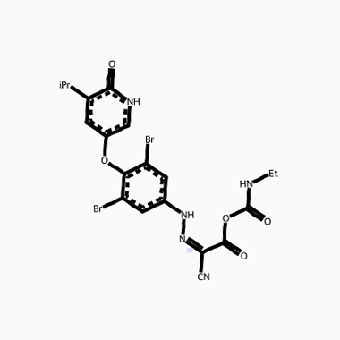 CCNC(=O)OC(=O)/C(C#N)=N\Nc1cc(Br)c(Oc2c[nH]c(=O)c(C(C)C)c2)c(Br)c1